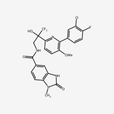 COc1ccc(C(O)(CNC(=O)c2ccc3c(c2)[nH]c(=O)n3C)C(F)(F)F)nc1-c1ccc(F)c(Cl)c1